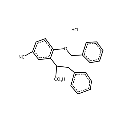 Cl.N#Cc1ccc(OCc2ccccc2)c(C(Cc2ccccc2)C(=O)O)c1